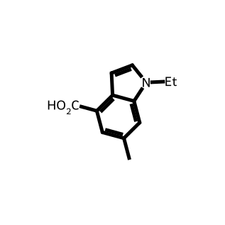 CCn1ccc2c(C(=O)O)cc(C)cc21